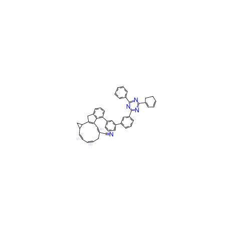 N#C/C1=C/C2=C(Cc3cccc(-c4cccc(-c5cccc(-c6nc(C7=CC=CCC7)nc(-c7ccccc7)n6)c5)c4)c32)C2CC2/C=C\C=C/C1